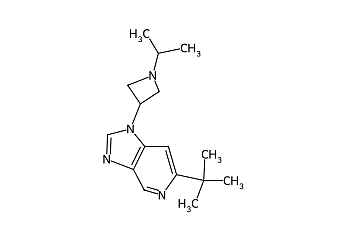 CC(C)N1CC(n2cnc3cnc(C(C)(C)C)cc32)C1